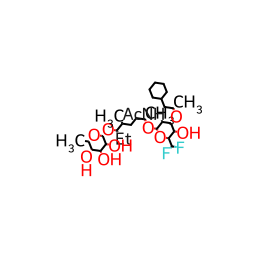 CCC(OC1OC(C)C(O)C(O)C1O)C(C)CCC(C)OC1OC(C(F)F)C(O)C(OC(C)CC2CCCCC2)C1NC(C)=O